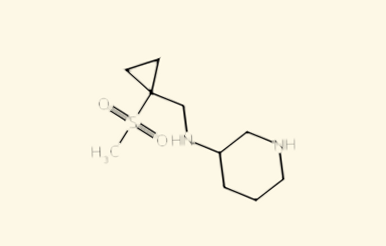 CS(=O)(=O)C1(CNC2CCCNC2)CC1